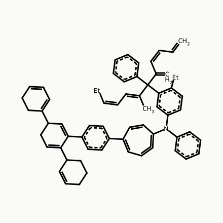 C=C/C=C\C(=C)C(/C(C)=C/C=C\CC)(c1ccccc1)c1cc(N(C2=C=CC=C(c3ccc(C4=CC(C5=CC=CCC5)CC=C4C4C=CCCC4)cc3)C=C2)c2ccccc2)ccc1CC